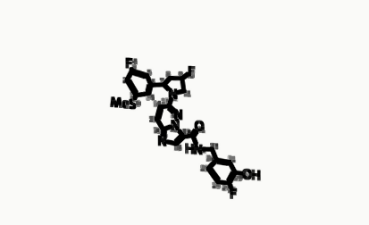 CSc1cc(F)cc(C2CC(F)CN2c2ccc3ncc(C(=O)NCc4ccc(F)c(O)c4)n3n2)c1